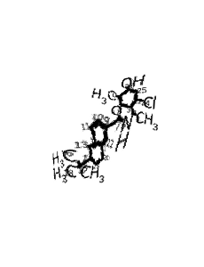 Cc1cc(C(C)NC(=O)c2ccc3cc(C(C)(C)C)ccc3c2)c(Cl)cc1O